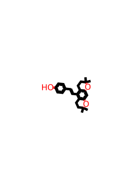 CC1(C)CCc2c(cc3c(c2/C=C/c2ccc(O)cc2)CCC(C)(C)O3)O1